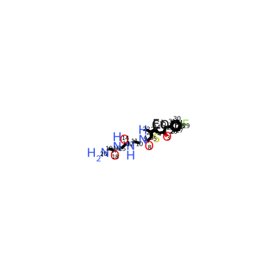 CCC(C(=O)c1sc(C(=O)NCCNC(=O)CNC(=O)CN)c(C)c1C(=O)O)c1ccc(F)cc1